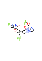 CNC(=O)c1c(-c2ccc(F)cc2)oc2cc(CCC(F)(F)F)c(-c3cccc(C(=O)NC4(c5ncccn5)CC(OC(F)F)C4)c3)cc12